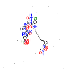 CN1CC[C@H]2CC[C@@H](C(=O)N[C@@H](CCC(N)=O)C(=O)N[C@H](C(=O)NCCCCCCCCCC#Cc3cccc4c3CN(C3CCC(=O)NC3=O)C4=O)c3cccc(Cl)c3)N2C(=O)[C@@H](NC(=O)c2cc3cc(C(F)(F)P(=O)(O)O)ccc3[nH]2)C1